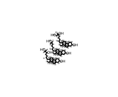 C[C@H](CCC(O)C(C)(C)O)[C@H]1CC[C@H]2[C@@H]3CC=C4C[C@@H](O)CC[C@]4(C)[C@H]3CC[C@]12C.C[C@H](CCCC(C)(C)O)[C@H]1CC[C@H]2[C@@H]3CC=C4C[C@@H](O)CC[C@]4(C)[C@H]3CC[C@]12C.C[C@H](CCCC(C)(O)CO)[C@H]1CC[C@H]2[C@@H]3CC=C4C[C@@H](O)CC[C@]4(C)[C@H]3CC[C@]12C